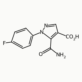 NC(=O)c1c(C(=O)O)cnn1-c1ccc(F)cc1